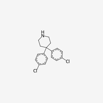 Clc1ccc(C2(c3ccc(Cl)cc3)CCNCC2)cc1